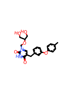 Cc1ccc(Oc2cccc(Cc3cn(COC(CO)CO)c(=O)[nH]c3=O)c2)cc1